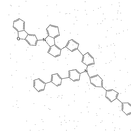 c1ccc(-c2ccc(-c3ccc(N(c4ccc(-c5ccc(-c6ccccc6)cc5)cc4)c4cccc(-c5cccc(-c6cccc7c6c6ccccc6n7-c6ccc7oc8ccccc8c7c6)c5)c4)cc3)cc2)cc1